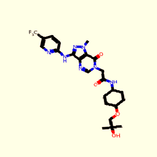 Cn1nc(Nc2ccc(C(F)(F)F)cn2)c2ncn(CC(=O)NC3CCC(OCC(C)(C)O)CC3)c(=O)c21